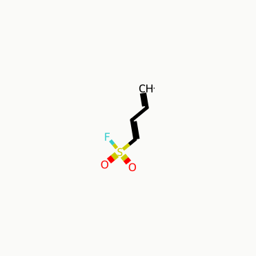 [CH]=CC=CS(=O)(=O)F